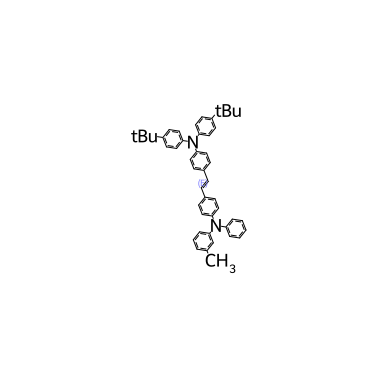 Cc1cccc(N(c2ccccc2)c2ccc(/C=C/c3ccc(N(c4ccc(C(C)(C)C)cc4)c4ccc(C(C)(C)C)cc4)cc3)cc2)c1